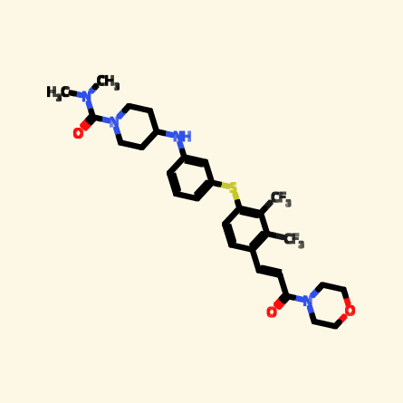 CN(C)C(=O)N1CCC(Nc2cccc(Sc3ccc(/C=C/C(=O)N4CCOCC4)c(C(F)(F)F)c3C(F)(F)F)c2)CC1